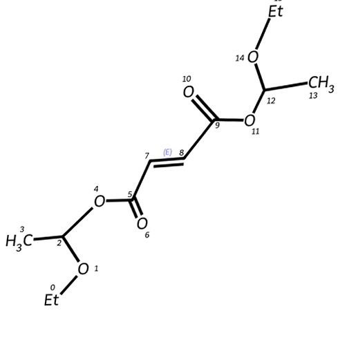 CCOC(C)OC(=O)/C=C/C(=O)OC(C)OCC